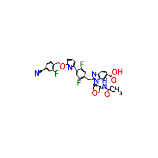 CC(=O)N[C@@H]1COC[C@@H]1n1c(Cc2cc(F)c(-c3cccc(OCc4ccc(C#N)cc4F)n3)cc2F)nc2ccc(C(=O)O)cc21